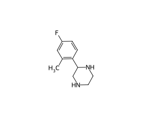 Cc1cc(F)ccc1C1CNCCN1